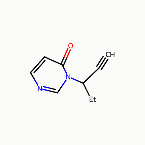 C#CC(CC)n1cnccc1=O